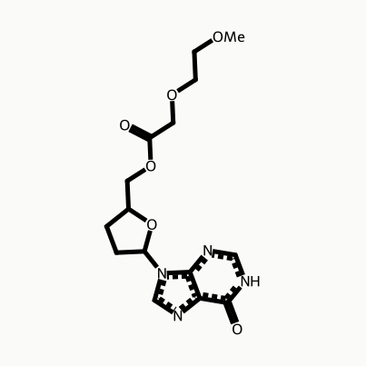 COCCOCC(=O)OCC1CCC(n2cnc3c(=O)[nH]cnc32)O1